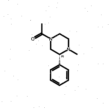 CC(=O)N1CCN(C)[C@H](c2ccccc2)C1